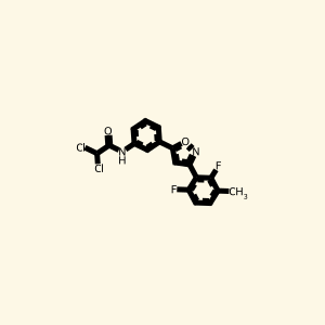 Cc1ccc(F)c(-c2cc(-c3cccc(NC(=O)C(Cl)Cl)c3)on2)c1F